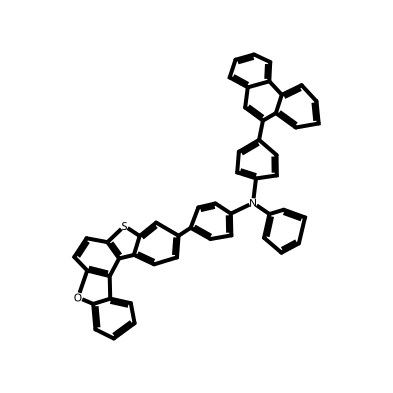 c1ccc(N(c2ccc(-c3ccc4c(c3)sc3ccc5oc6ccccc6c5c34)cc2)c2ccc(-c3cc4ccccc4c4ccccc34)cc2)cc1